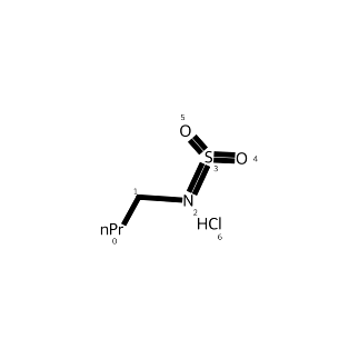 CCCCN=S(=O)=O.Cl